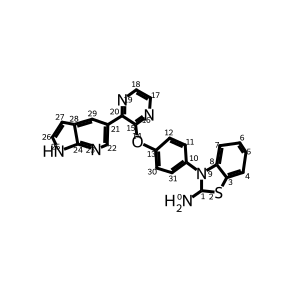 NC1Sc2ccccc2N1c1ccc(Oc2nccnc2-c2cnc3[nH]ccc3c2)cc1